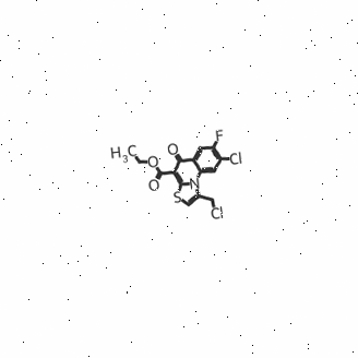 CCOC(=O)c1c(=O)c2cc(F)c(Cl)cc2n2c(CCl)csc12